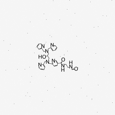 O=CNCCNC(=O)c1ccc(CN(Cc2ccccn2)CC(O)CN(Cc2ccccn2)Cc2ccccn2)nc1